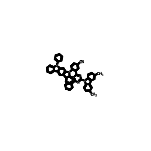 Cc1ccc2c(c1)c1cc(C)ccc1n2-c1nc(-c2ccccc2)nc(-c2cc(C#N)ccc2-n2c3ccccc3c3cc4c5ccccc5n(-c5ccccc5)c4cc32)n1